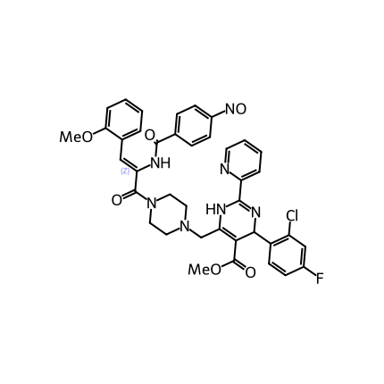 COC(=O)C1=C(CN2CCN(C(=O)/C(=C/c3ccccc3OC)NC(=O)c3ccc(N=O)cc3)CC2)NC(c2ccccn2)=NC1c1ccc(F)cc1Cl